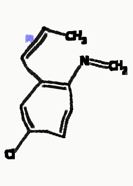 C=Nc1ccc(Cl)cc1/C=C\C